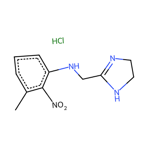 Cc1cccc(NCC2=NCCN2)c1[N+](=O)[O-].Cl